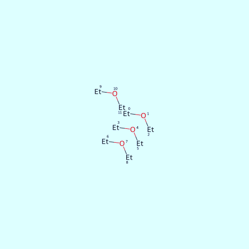 CCOCC.CCOCC.CCOCC.CCOCC